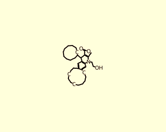 O=C1OCC2=C1C(C1CCCCCCCCCC1)c1cc3c(cc1N2CCO)CCCCCCCCCCC3